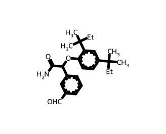 CCC(C)(C)c1ccc(OC(C(N)=O)c2cccc(C=O)c2)c(C(C)(C)CC)c1